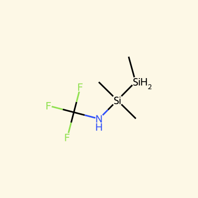 C[SiH2][Si](C)(C)NC(F)(F)F